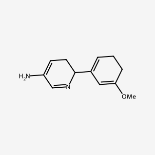 COC1=CC(C2CC=C(N)C=N2)=CCC1